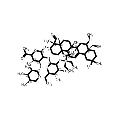 CCC1O[C@@H](OC2[C@H](O[C@H]3CCC4(C)C5CC=C6C7CC(C)(C)CC[C@]7(CS)C(OC)C[C@@]6(C)[C@@]5(C)CC[C@H]4[C@@]3(C)C=O)OC(C(C)=O)[C@@H](C)[C@@H]2O[C@@H]2OC[C@@H](C)[C@@H](C)C2C)C(O[Si](CC)(CC)CC)[C@@H](C)[C@@H]1C